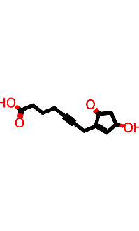 O=C(O)CCCC#CCC1=CC(O)CC1=O